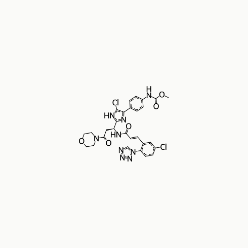 COC(=O)Nc1ccc(-c2nc([C@H](CC(=O)N3CCOCC3)NC(=O)C=Cc3cc(Cl)ccc3-n3cnnn3)[nH]c2Cl)cc1